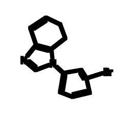 Brc1cccc(-n2cnc3c2CCC=C3)c1